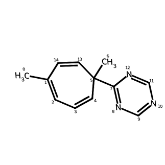 CC1=CC=CC(C)(c2ncncn2)C=C1